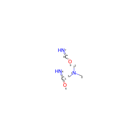 CN(C)C.N=C=O.N=C=O